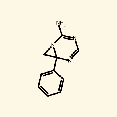 NC1=NC=NC2(c3ccccc3)CN12